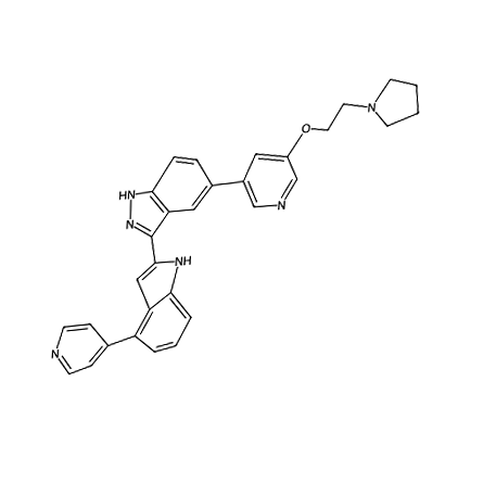 c1cc(-c2ccncc2)c2cc(-c3n[nH]c4ccc(-c5cncc(OCCN6CCCC6)c5)cc34)[nH]c2c1